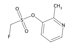 Cc1ncccc1OS(=O)(=O)CF